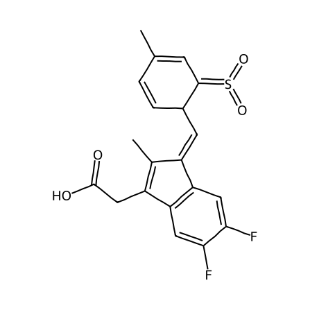 CC1=CC(=S(=O)=O)C(C=C2C(C)=C(CC(=O)O)c3cc(F)c(F)cc32)C=C1